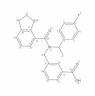 CC(c1ccc(F)cc1)N(Cc1cccc(C(=O)O)c1)C(=O)c1cccc2c1OCC2